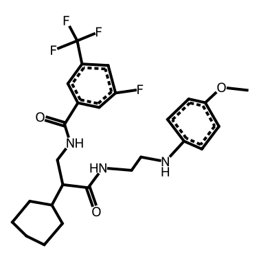 COc1ccc(NCCNC(=O)C(CNC(=O)c2cc(F)cc(C(F)(F)F)c2)C2CCCCC2)cc1